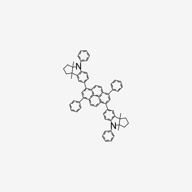 CC12CCCC1(C)N(c1ccccc1)c1ccc(-c3cc(-c4ccccc4)c4ccc5c(-c6ccc7c(c6)C6(C)CCCC6(C)N7c6ccccc6)cc(-c6ccccc6)c6ccc3c4c65)cc12